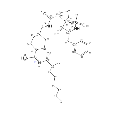 CCCCCCC(C)C(=O)/N=C(/N)N1CCC(CNC(=O)[C@@H]2CCCN2C(=O)[C@@H](Cc2ccccc2)NS(C)(=O)=O)CC1